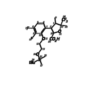 CC1C(c2ccc(F)c(F)c2OCCO[Si](C)(C)C(C)(C)C)C(C(=O)O)OC1(C)C(F)(F)F